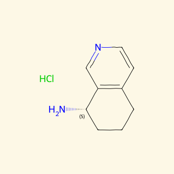 Cl.N[C@H]1CCCc2ccncc21